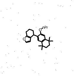 CCCOc1cc2c(cc1C1CCCc3occc31)C(C)(C)CCC2(C)C